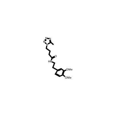 COc1ccc(CCNC(=O)CCCn2nnnc2C)cc1OC